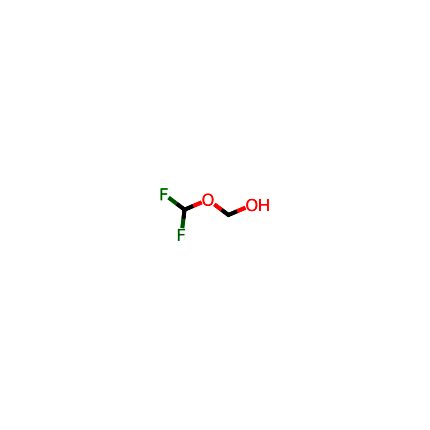 OCOC(F)F